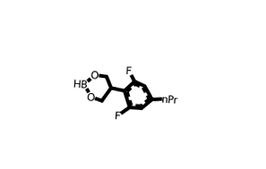 CCCc1cc(F)c(C2COBOC2)c(F)c1